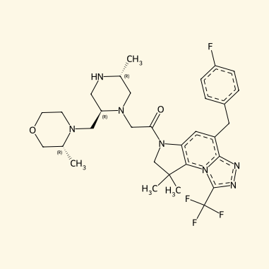 C[C@@H]1CN(CC(=O)N2CC(C)(C)c3c2cc(Cc2ccc(F)cc2)c2nnc(C(F)(F)F)n32)[C@@H](CN2CCOC[C@H]2C)CN1